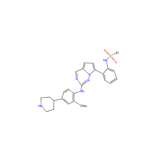 CCS(=O)(=O)Nc1ccccc1-c1ccc2cnc(Nc3ccc(C4CCNCC4)cc3OC)nn12